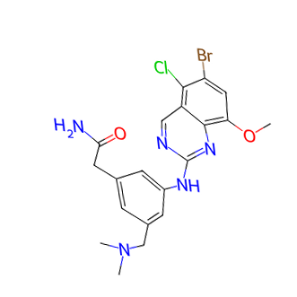 COc1cc(Br)c(Cl)c2cnc(Nc3cc(CC(N)=O)cc(CN(C)C)c3)nc12